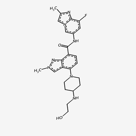 Cc1cn2cc(NC(=O)c3ccc(N4CCC(NCCO)CC4)c4cn(C)nc34)cc(F)c2n1